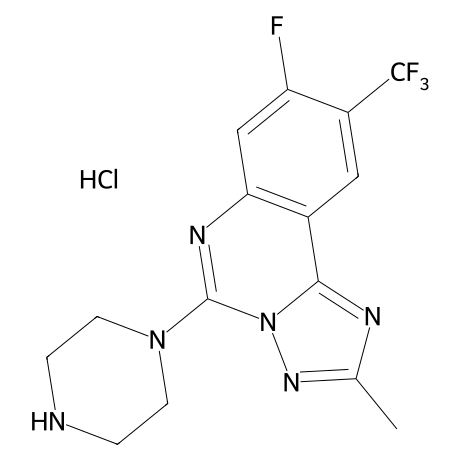 Cc1nc2c3cc(C(F)(F)F)c(F)cc3nc(N3CCNCC3)n2n1.Cl